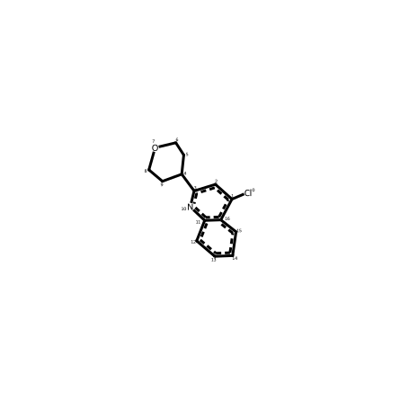 Clc1cc(C2CCOCC2)nc2ccccc12